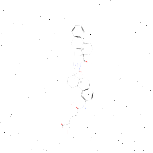 C[C@]1(C(=O)NC(=O)[C@@]2(C)CCC[C@]3(C)c4cc(NC(=O)CCCC(=O)O)ccc4CC[C@@H]23)CCC[C@]2(C)c3cc(O)ccc3CC[C@@H]12